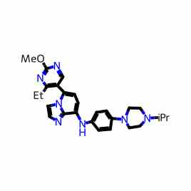 CCc1nc(OC)ncc1-c1ccc(Nc2ccc(N3CCN(C(C)C)CC3)cc2)c2nccn12